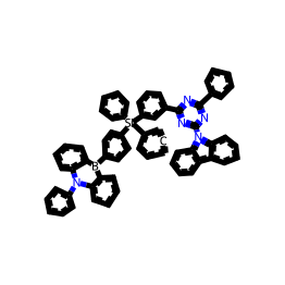 c1ccc(-c2nc(-c3cccc([Si](c4ccccc4)(c4ccccc4)c4ccc(B5c6ccccc6N(c6ccccc6)c6ccccc65)cc4)c3)nc(-n3c4ccccc4c4ccccc43)n2)cc1